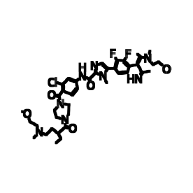 CCC(CCN(C)CCOC)C(=O)N1CCN(C(=O)c2ccc(NC(=O)c3ncc(-c4ccc(/C(C(C)=N)=C(\C)N(C)CCOC)c(F)c4F)n3C)cc2Cl)CC1